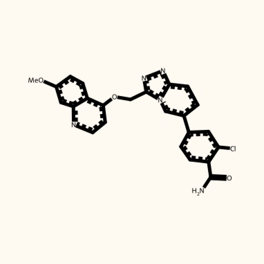 COc1ccc2c(OCc3nnc4ccc(-c5ccc(C(N)=O)c(Cl)c5)cn34)ccnc2c1